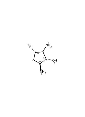 NC1[C@@H](F)C[C@H](N)[C@H]1O